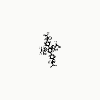 C=C(C)C(=O)Oc1ccc(-c2cc(OC(=O)C(=C)C)c(-c3ccc(OC(=O)C(=C)C)cc3F)c(OC(=O)C(=C)C)c2)cc1